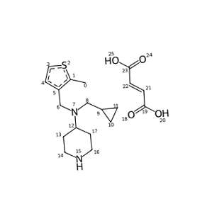 Cc1sccc1CN(CC1CC1)C1CCNCC1.O=C(O)C=CC(=O)O